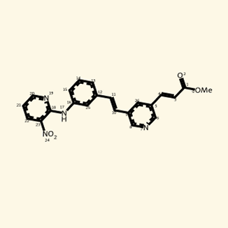 COC(=O)/C=C/c1cncc(C=Cc2cccc(Nc3ncccc3[N+](=O)[O-])c2)c1